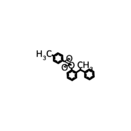 Cc1ccc(S(=O)(=O)Oc2ccccc2C(C)c2ccccc2)cc1